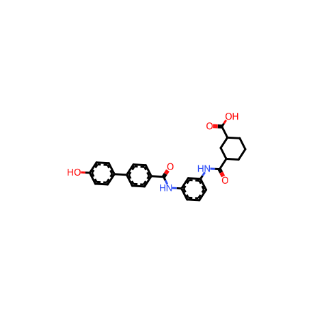 O=C(Nc1cccc(NC(=O)C2CCCC(C(=O)O)C2)c1)c1ccc(-c2ccc(O)cc2)cc1